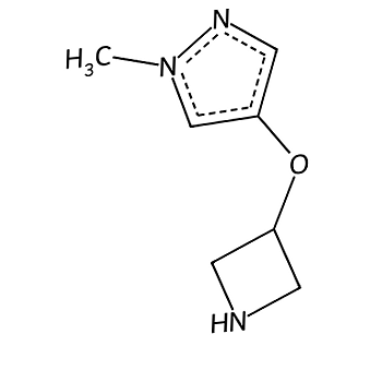 Cn1cc(OC2CNC2)cn1